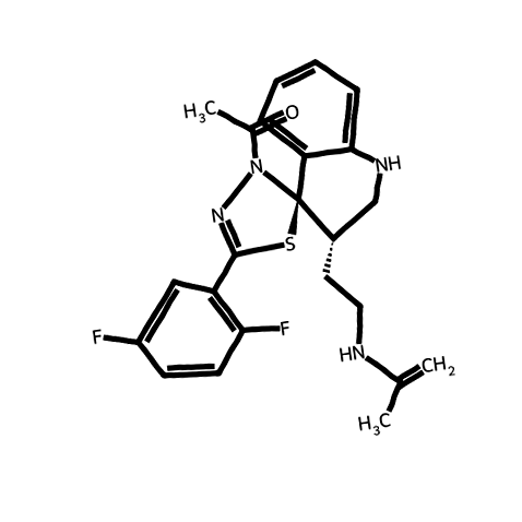 C=C(C)NCC[C@H]1CNc2ccccc2[C@]12SC(c1cc(F)ccc1F)=NN2C(C)=O